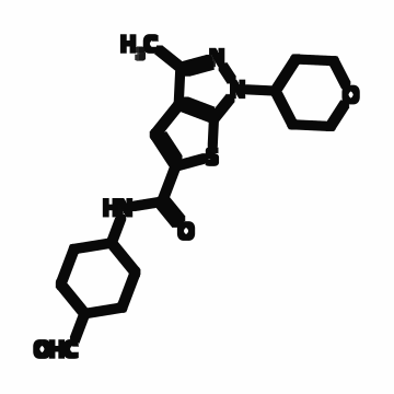 Cc1nn(C2CCOCC2)c2sc(C(=O)NC3CCC(C=O)CC3)cc12